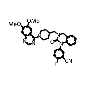 COc1cc2ncnc(N3CCC(CN4Cc5ccccc5N(c5ccc(F)c(C#N)c5)C4=O)CC3)c2cc1OC